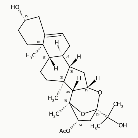 CC(=O)O[C@H]1C[C@]2(C(C)(C)O)O[C@H]3C[C@H]4[C@@H]5CC=C6C[C@@H](O)CC[C@]6(C)[C@H]5CC[C@]4(C)[C@H]3[C@@]1(C)O2